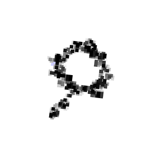 C/C=C/C[C@@H](C)[C@@H](O)[C@H]1C(=O)N[C@@H](CC)C(=O)N(C)[C@H](CSCC[C@@H](CO)CCCN2CCOCC2)C(=O)N(C)[C@@H](CC(C)(C)O)C(=O)N[C@@H](C(C)C)C(=O)N(C)[C@@H](CC(C)C)C(=O)N[C@@H](C)C(=O)N[C@H](C)C(=O)N(C)[C@@H](CC(C)C)C(=O)N(C)[C@@H](CC(C)C)C(=O)N(C)[C@@H](C(C)C)C(=O)N1C